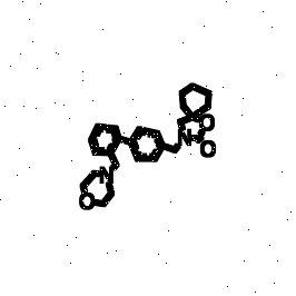 O=C1OC2(CCCCC2)CN1Cc1ccc(-c2ccccc2CN2CCOCC2)cc1